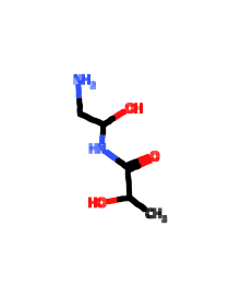 CC(O)C(=O)NC(O)CN